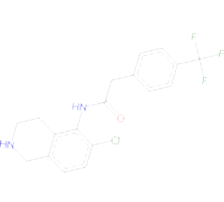 O=C(Cc1ccc(C(F)(F)F)cc1)Nc1c(Cl)ccc2c1CCNC2